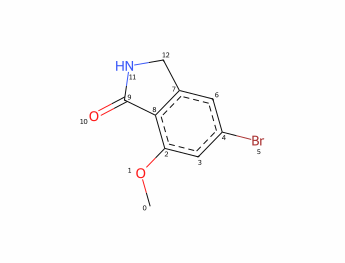 COc1cc(Br)cc2c1C(=O)NC2